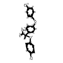 CC(Oc1ccc(Cl)cc1)(C(=O)O)c1ccc(Oc2ccc(Cl)cc2)cc1